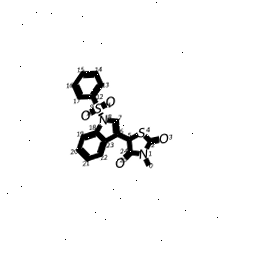 CN1C(=O)SC(c2cn(S(=O)(=O)c3ccccc3)c3ccccc23)C1=O